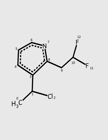 CC(Cl)c1cccnc1CC(F)F